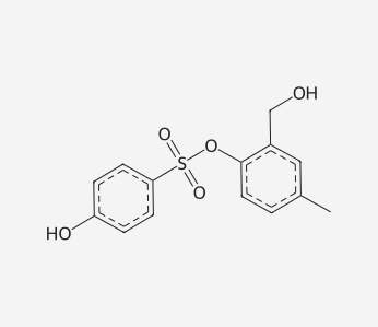 Cc1ccc(OS(=O)(=O)c2ccc(O)cc2)c(CO)c1